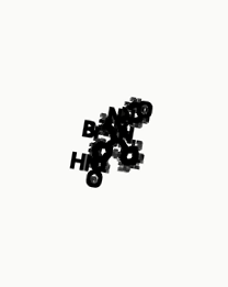 O=C1Cc2cc(-c3c(-c4ccccc4)nn4c(N5CCOCC5)ncc(Br)c34)ccc2N1